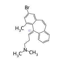 Cc1cc(Br)cc2c1/C(=C/CCN(C)C)c1ccccc1C=C2